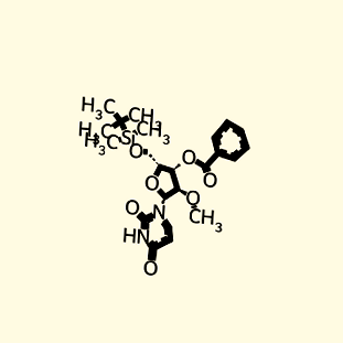 CO[C@@H]1[C@@H](OC(=O)c2ccccc2)[C@@H](CO[Si](C)(C)C(C)(C)C)O[C@H]1n1ccc(=O)[nH]c1=O